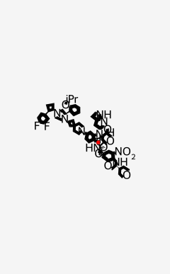 CC(C)Oc1ccccc1[C@@H]1CN([C@H]2CC[C@@H]2c2ccc(F)c(F)c2)CCN1C1CC2(CCN(c3ccc(C(=O)NS(=O)(=O)c4cc5c(c([N+](=O)[O-])c4)N[C@H](C4CCOCC4)CO5)c(N4c5cc6cc[nH]c6nc5O[C@H]5COCC[C@@H]54)c3)CC2)C1